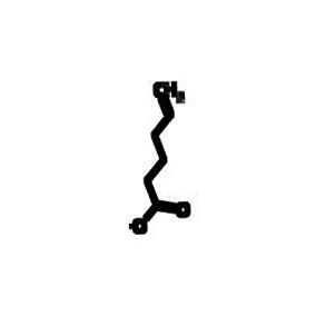 C=CCCCC([O])=O